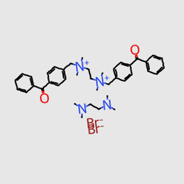 CN(C)CCN(C)C.C[N+](C)(CC[N+](C)(C)Cc1ccc(C(=O)c2ccccc2)cc1)Cc1ccc(C(=O)c2ccccc2)cc1.[Br-].[Br-]